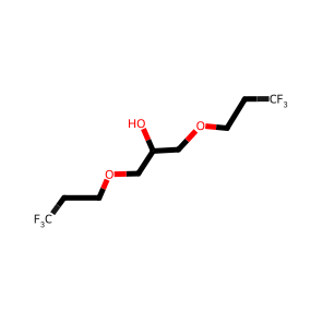 OC(COCCC(F)(F)F)COCCC(F)(F)F